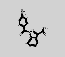 CNC(=O)c1nn(C(=O)c2ccc([N+](=O)[O-])cc2)c2ccccc12